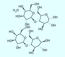 O.OC[C@H]1O[C@@H](O[C@H]2[C@H](O)[C@@H](O)[C@@H](O)O[C@@H]2CO)[C@H](O)[C@@H](O)[C@H]1O.OC[C@H]1O[C@@H](O[C@H]2[C@H](O)[C@@H](O)[C@H](O)O[C@@H]2CO)[C@H](O)[C@@H](O)[C@H]1O